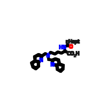 CCCCCCCC(=O)NC(CCCCN(Cc1ccc2ccccc2n1)Cc1ccc2ccccc2n1)C(=O)O